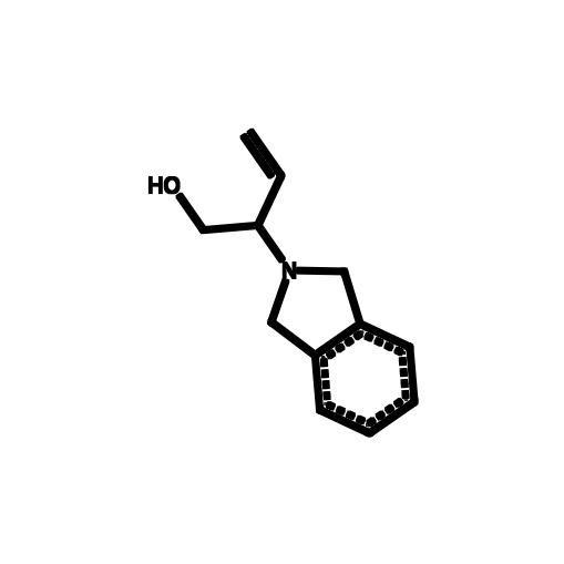 C=CC(CO)N1Cc2ccccc2C1